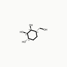 OC[C@@H]1C[CH][C@H](O)[C@@H](O)[C@H]1O